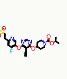 C#Cc1c(Oc2cnc(CCS(C)(=O)=O)cc2F)ncnc1OC1CCN(C(=O)OC(C)C)CC1